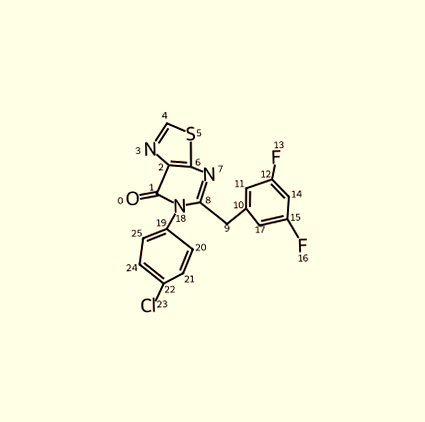 O=c1c2ncsc2nc(Cc2cc(F)cc(F)c2)n1-c1ccc(Cl)cc1